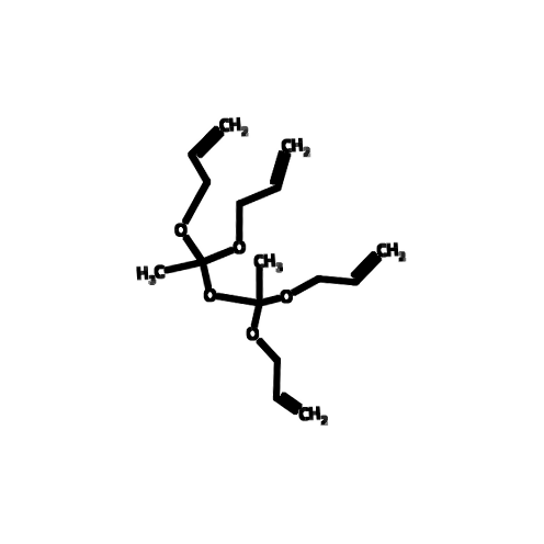 C=CCOC(C)(OCC=C)OC(C)(OCC=C)OCC=C